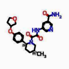 C[C@@H]1CC[C@@H](c2ccc(OC3CCOC3)cc2)N(C(=O)C(=O)Nc2cncc(C(N)=O)c2)C1